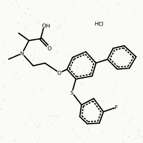 CC(C(=O)O)N(C)CCOc1ccc(-c2ccccc2)cc1Sc1cccc(F)c1.Cl